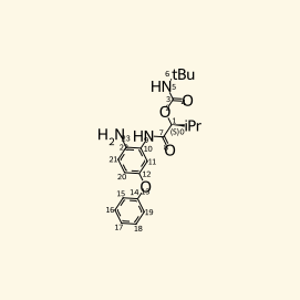 CC(C)[C@H](OC(=O)NC(C)(C)C)C(=O)Nc1cc(Oc2ccccc2)ccc1N